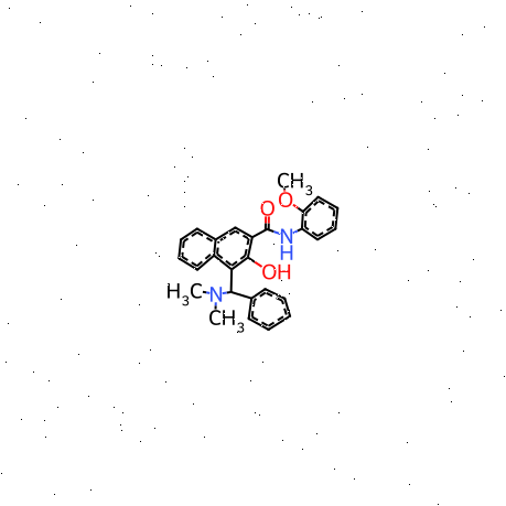 COc1ccccc1NC(=O)c1cc2ccccc2c(C(c2ccccc2)N(C)C)c1O